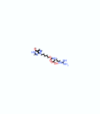 N=C(N)NCCC[C@H](NC(=O)OCCCCCn1ncc2c(=O)[nH]cnc21)C(=O)O